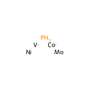 P.[Co].[Mo].[Ni].[V]